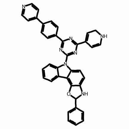 C1=CC(c2nc(-c3ccc(-c4ccncc4)cc3)nc(-n3c4ccccc4c4c5c(ccc43)NC(c3ccccc3)O5)n2)=CCN1